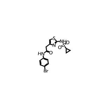 O=C(Cc1csc(NS(=O)(=O)C2CC2)n1)Nc1ccc(Br)cc1